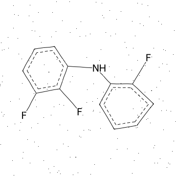 Fc1ccccc1Nc1cccc(F)c1F